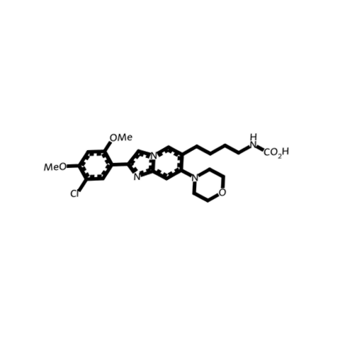 COc1cc(OC)c(-c2cn3cc(CCCCNC(=O)O)c(N4CCOCC4)cc3n2)cc1Cl